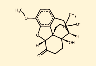 COc1ccc2c3c1O[C@H]1C(=O)CC[C@@]4(O)[C@@H](C2)[N+](C)([O-])CC[C@]314